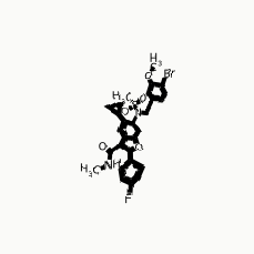 CNC(=O)c1c(-c2ccc(F)cc2)oc2cc(N(Cc3ccc(Br)c(OC)c3)S(C)(=O)=O)c(C3CC3)cc12